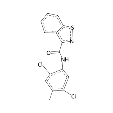 Cc1cc(Cl)c(NC(=O)c2nsc3ccccc23)cc1Cl